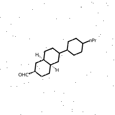 CCCC1CCC(C2CC[C@@H]3C[C@H](C=O)CC[C@@H]3C2)CC1